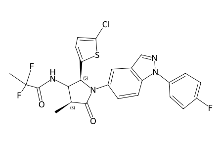 C[C@@H]1C(=O)N(c2ccc3c(cnn3-c3ccc(F)cc3)c2)[C@H](c2ccc(Cl)s2)C1NC(=O)C(C)(F)F